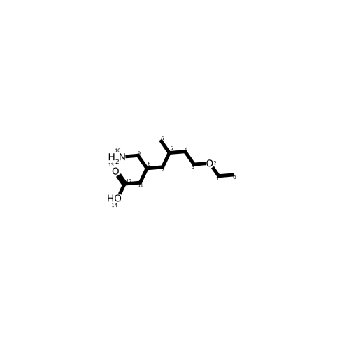 CCOCCC(C)CC(CN)CC(=O)O